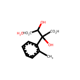 Cc1ccccc1C(O)(C(=O)O)C(O)C(=O)O.O